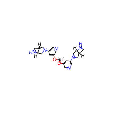 B(Oc1cncc(N2C[C@H]3CN[C@@H]3C2)c1)Oc1cncc(N2C[C@H]3CN[C@@H]3C2)c1